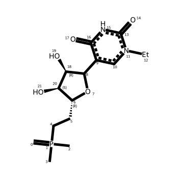 C=P(C)(C)CC[C@H]1OC(c2cn(CC)c(=O)[nH]c2=O)[C@H](O)[C@@H]1O